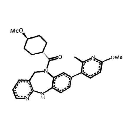 COc1ccc(-c2ccc3c(c2)N(C(=O)[C@H]2CC[C@H](OC)CC2)Cc2cccnc2N3)c(C)n1